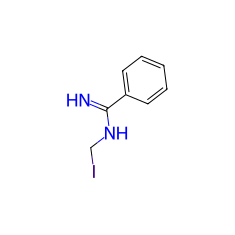 N=C(NCI)c1ccccc1